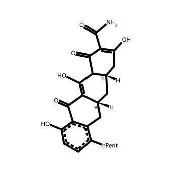 CCCCCc1ccc(O)c2c1C[C@H]1C[C@H]3CC(O)=C(C(N)=O)C(=O)C3C(O)=C1C2=O